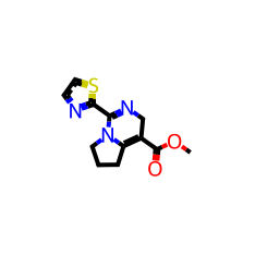 COC(=O)C1=C2CCCN2C(c2nccs2)=NC1